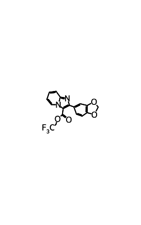 O=C(OCC(F)(F)F)c1c(-c2ccc3c(c2)OCO3)nc2ccccn12